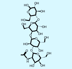 CC(=O)N[C@H]1[C@H](O[C@H]2[C@@H](O)[C@@H](CO)O[C@H](O[C@@H]3[C@H](O)[C@@H](O)[C@H](O[C@H]4[C@H](O)[C@@H](O)C(O)O[C@@H]4CO)O[C@@H]3CO)[C@@H]2O)O[C@H](CO)[C@@H](O)[C@@H]1O